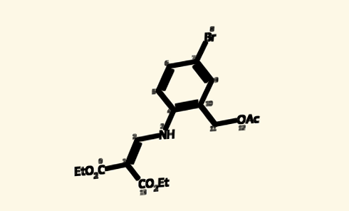 CCOC(=O)C(=CNc1ccc(Br)cc1COC(C)=O)C(=O)OCC